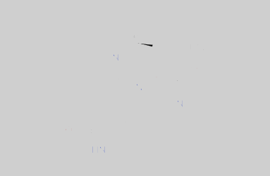 C[C@@H]1CCCN1c1cc2c(c(CN(C)C(=O)OC(C)(C)C)n1)CNC2=O